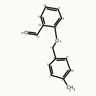 Cc1ccc(COc2ccccc2C=O)cc1